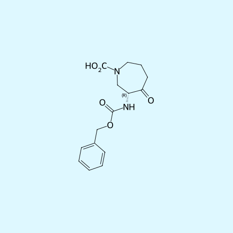 O=C(N[C@@H]1CN(C(=O)O)CCCC1=O)OCc1ccccc1